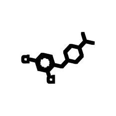 CC(C)C1CCC(Cc2ccc(Cl)cc2Cl)CC1